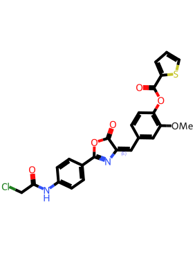 COc1cc(/C=C2/N=C(c3ccc(NC(=O)CCl)cc3)OC2=O)ccc1OC(=O)c1cccs1